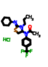 CCCN1C(=NC2CCCCC2)SCC1N(C(C)=O)c1ccc(C(F)(F)F)cc1.Cl